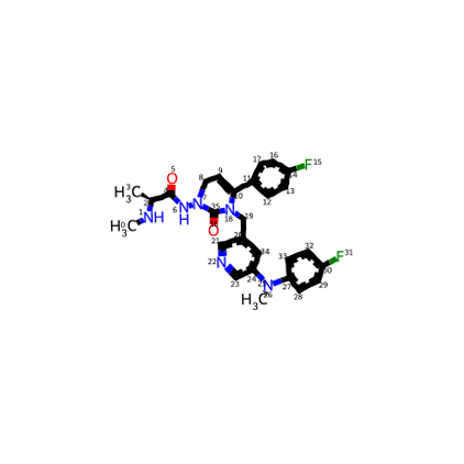 CN[C@@H](C)C(=O)NN1CC=C(c2ccc(F)cc2)N(Cc2cncc(N(C)c3ccc(F)cc3)c2)C1=O